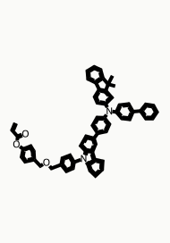 C=CC(=O)Oc1ccc(COCc2ccc(-n3c4ccccc4c4cc(-c5ccc(N(c6ccc(-c7ccccc7)cc6)c6ccc7c(c6)C(C)(C)c6ccccc6-7)cc5)ccc43)cc2)cc1